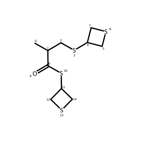 CC(CSC1CSC1)C(=O)SC1CSC1